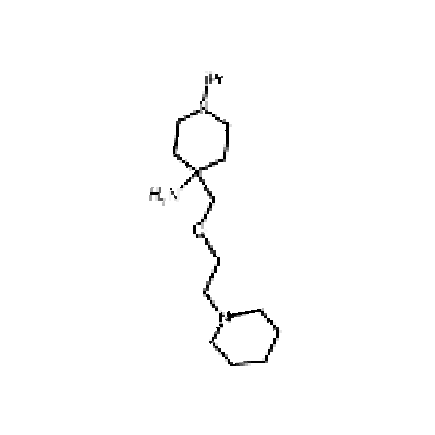 CC(C)N1CCC(N)(COCCN2CCCCC2)CC1